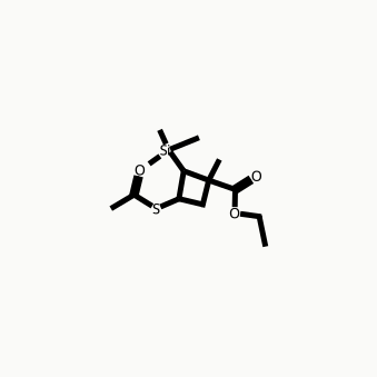 CCOC(=O)C1(C)CC(SC(C)=O)C1[Si](C)(C)C